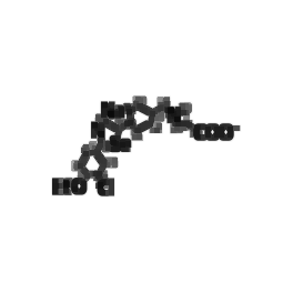 CCOc1ccc(-c2ncc(-c3ccc(CN4CC(C(=O)[O-])C4)cc3)[se]2)cc1Cl.[Na+]